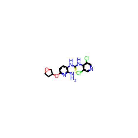 Nc1nc(OC2CCOC2)ccc1NC(=S)Nc1c(Cl)cncc1Cl